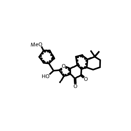 COc1ccc(C(O)c2oc3c(c2C)C(=O)C(=O)c2c-3ccc3c2CCCC3(C)C)cc1